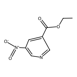 CCOC(=O)c1cncc([N+](=O)[O-])c1